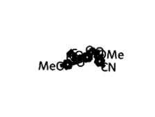 COc1ccc(CN(c2nccs2)S(=O)(=O)c2ccc3c(c2)OCC(=O)N3c2ccc(C#N)cc2OC)cc1